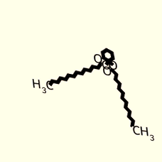 CCCCCCCCCCCCCC(=O)OC1(OC(=O)CCCCCCCCCCCCC)CCCCC1